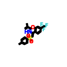 C=C(C)C(=O)N/C(=C\S(=O)(=O)c1ccc(C)cc1)c1ccc(C(F)(F)F)cc1